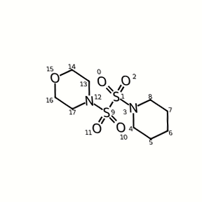 O=S(=O)(N1CCCCC1)S(=O)(=O)N1CCOCC1